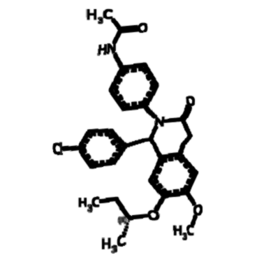 CC[C@@H](C)Oc1cc2c(cc1OC)CC(=O)N(c1ccc(NC(C)=O)cc1)C2c1ccc(Cl)cc1